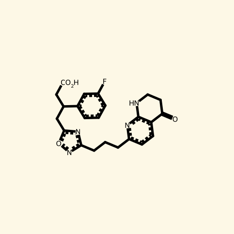 O=C(O)CC(Cc1nc(CCCc2ccc3c(n2)NCCC3=O)no1)c1cccc(F)c1